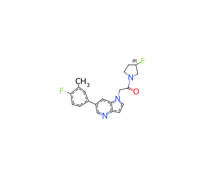 Cc1cc(-c2cnc3ccn(CC(=O)N4CC[C@@H](F)C4)c3c2)ccc1F